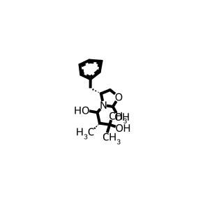 C[C@H](C(O)N1C(O)OC[C@H]1Cc1ccccc1)C(C)(C)O